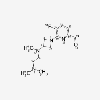 CN(C)CCN(C)C1CN(c2nc(C=O)ccc2F)C1